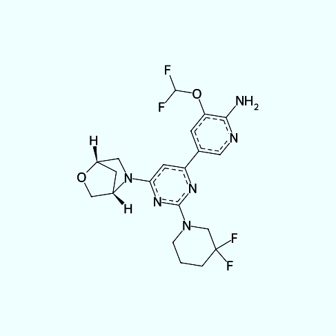 Nc1ncc(-c2cc(N3C[C@@H]4C[C@H]3CO4)nc(N3CCCC(F)(F)C3)n2)cc1OC(F)F